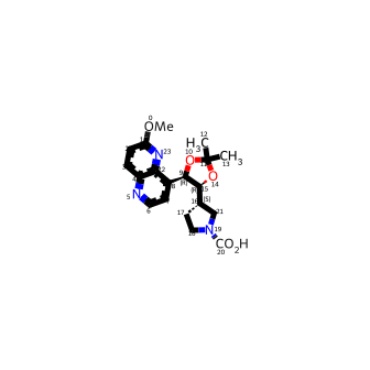 COc1ccc2nccc([C@H]3OC(C)(C)O[C@@H]3[C@H]3CCN(C(=O)O)C3)c2n1